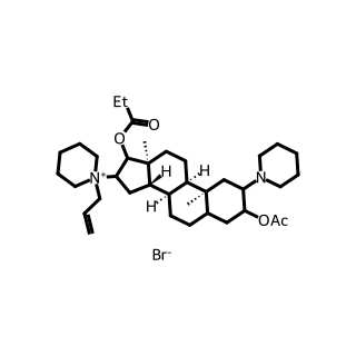 C=CC[N+]1(C2C[C@H]3[C@@H]4CCC5CC(OC(C)=O)C(N6CCCCC6)C[C@]5(C)[C@@H]4CC[C@]3(C)C2OC(=O)CC)CCCCC1.[Br-]